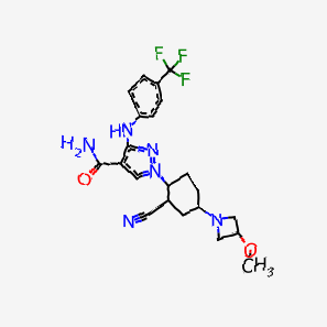 COC1CN(C2CCC(n3cc(C(N)=O)c(Nc4ccc(C(F)(F)F)cc4)n3)C(C#N)C2)C1